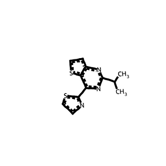 CC(C)c1nc(-c2nccs2)c2sccc2n1